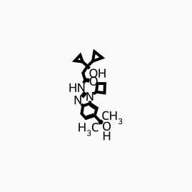 CC(C)(O)C1=CCC2N=C(NC(=O)CC(O)(C3CC3)C3CC3)N(C3CCC3)C2=C1